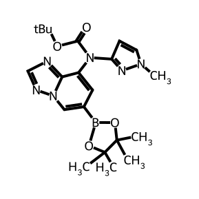 Cn1ccc(N(C(=O)OC(C)(C)C)c2cc(B3OC(C)(C)C(C)(C)O3)cn3ncnc23)n1